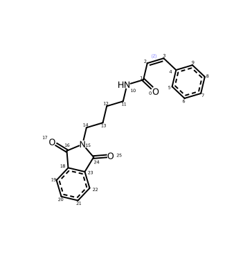 O=C(/C=C\c1ccccc1)NCCCCN1C(=O)c2ccccc2C1=O